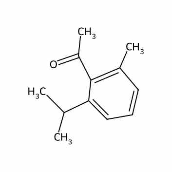 CC(=O)c1c(C)cccc1C(C)C